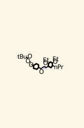 CCCc1cc(/C=C/C(=O)c2ccc(OCOC(=O)C(C)(C)C)cc2)c(OCC)cc1OCC